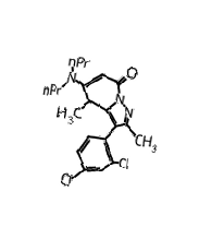 CCCN(CCC)C1=CC(=O)n2nc(C)c(-c3ccc(Cl)cc3Cl)c2C1C